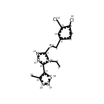 CCn1c(SCc2ccc(Cl)c(Cl)c2)nnc1-c1snnc1C